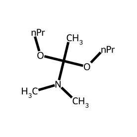 CCCOC(C)(OCCC)N(C)C